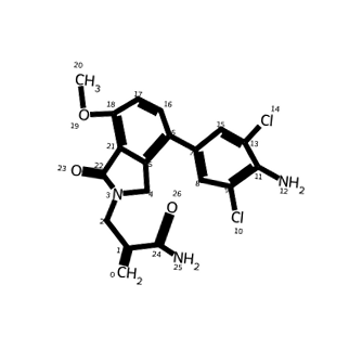 C=C(CN1Cc2c(-c3cc(Cl)c(N)c(Cl)c3)ccc(OC)c2C1=O)C(N)=O